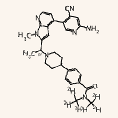 [2H]C([2H])([2H])N(C(=O)c1ccc(C2CCN([C@@H](C)c3cc4c(-c5cnc(N)cc5C#N)ccnc4n3C)CC2)cc1)C([2H])([2H])[2H]